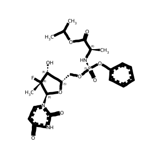 CC(C)OC(=O)[C@@H](C)N[P@](=O)(OC[C@@H]1O[C@@H](n2ccc(=O)[nH]c2=O)[C@](C)(F)[C@@H]1O)Oc1ccccc1